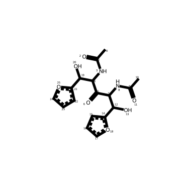 CC(=O)NC(C(=O)C(NC(C)=O)C(O)c1ccco1)C(O)c1ccco1